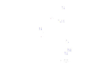 COc1ccccc1-c1n[nH]c2ncc(-c3cc(C(=O)Nc4ccncc4)cc(C(=O)N(C)C)c3)cc12